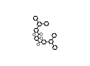 O=c1c2ccc(-c3cc(-c4ccccc4)cc(-c4ccccc4)c3)cc2oc2c1ccc1oc3ccc(-c4cc(-c5ccccc5)cc(-c5ccccc5)c4)cc3c(=O)c12